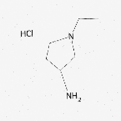 CCN1CCC(N)C1.Cl